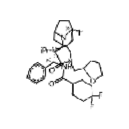 CC(C)N1C(=O)N(CC2CCCO2)CC12CC1CC[C@H](C2)N1CC[C@H](NC(=O)C1CCC(F)(F)CC1)c1ccccc1